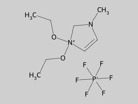 CCO[N+]1(OCC)C=CN(C)C1.F[P-](F)(F)(F)(F)F